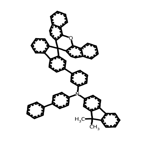 CC1(C)c2ccccc2-c2ccc(N(c3ccc(-c4ccccc4)cc3)c3cccc(-c4ccc5c(c4)C4(c6ccccc6-5)c5ccc6ccccc6c5Oc5c4ccc4ccccc54)c3)cc21